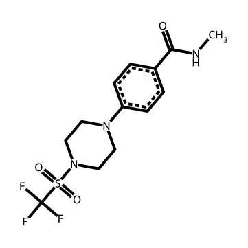 CNC(=O)c1ccc(N2CCN(S(=O)(=O)C(F)(F)F)CC2)cc1